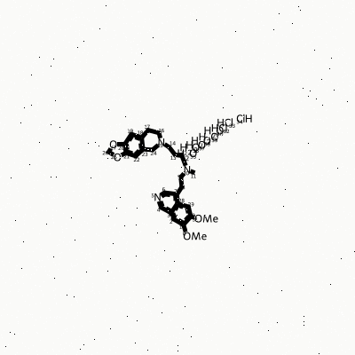 COc1cc2cncc(CCN(C)CCCN3CCc4cc5c(cc4C3)OCO5)c2cc1OC.Cl.Cl.Cl.O.O.O.O.O.O